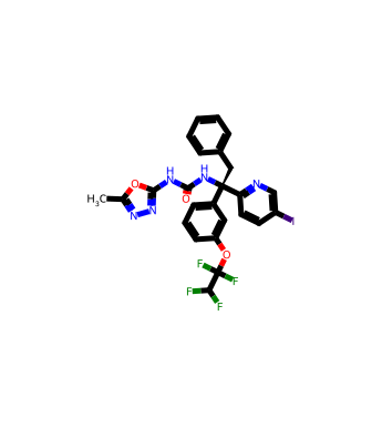 Cc1nnc(NC(=O)N[C@@](Cc2ccccc2)(c2cccc(OC(F)(F)C(F)F)c2)c2ccc(I)cn2)o1